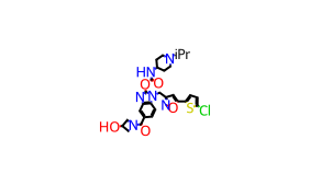 CC(C)N1CCC(NC(=O)Oc2nc3cc(C(=O)N4CC(O)C4)ccc3n2Cc2cc(-c3ccc(Cl)s3)on2)CC1